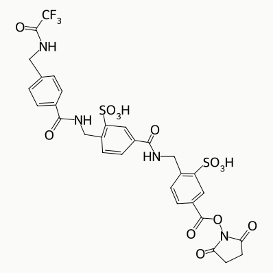 O=C(NCc1ccc(C(=O)NCc2ccc(C(=O)ON3C(=O)CCC3=O)cc2S(=O)(=O)O)cc1S(=O)(=O)O)c1ccc(CNC(=O)C(F)(F)F)cc1